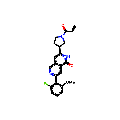 C=CC(=O)N1CCC(c2cc3cnc(-c4c(F)cccc4OC)cc3c(=O)[nH]2)C1